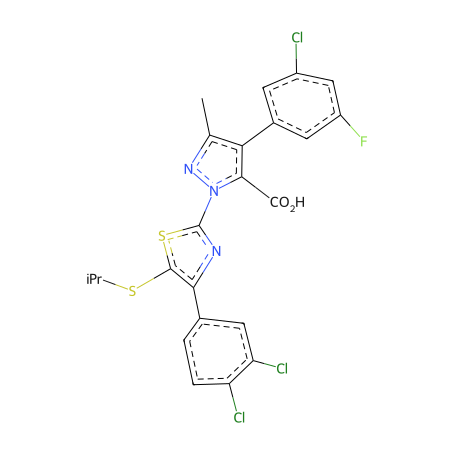 Cc1nn(-c2nc(-c3ccc(Cl)c(Cl)c3)c(SC(C)C)s2)c(C(=O)O)c1-c1cc(F)cc(Cl)c1